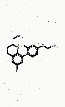 CCOc1ccc(-c2cc(F)cc3c2O[C@@H](CN)CC3)c(C)c1